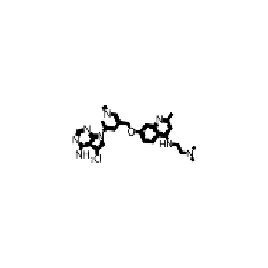 C=N/C=C(\C=C(/C)n1cc(Cl)c2c(N)ncnc21)COc1ccc2c(NCCN(C)C)cc(C)nc2c1